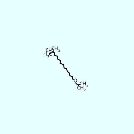 C=C(C)COCCCCCCCCCCCCCC[Si](C)(C)Cl